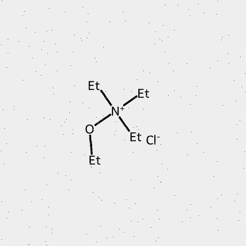 CCO[N+](CC)(CC)CC.[Cl-]